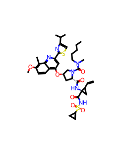 C=CC1C[C@]1(NC(=O)[C@@H]1C[C@@H](Oc2cc(-c3nc(C(C)C)cs3)nc3c(C)c(OC)ccc23)CN1C(=O)N(C)CCCCC)C(=O)NS(=O)(=O)C1CC1